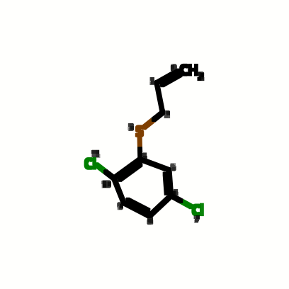 C=CCSc1cc(Cl)ccc1Cl